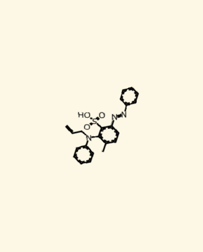 C=CCN(c1ccccc1)c1c(C)ccc(N=Nc2ccccc2)c1S(=O)(=O)O